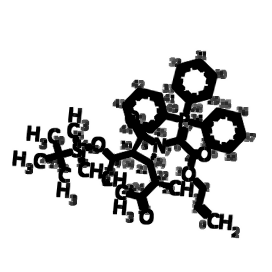 C=CCOC(=O)C(N1C(=O)[C@H]([C@@H](C)O[Si](C)(C)C(C)(C)C)[C@H]1[C@@H](C)C(C)=O)=P(c1ccccc1)(c1ccccc1)c1ccccc1